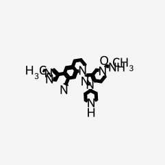 CNC(=O)N1CCc2c(c(N3CCCc4cc(-c5cnn(C)c5)c(C#N)cc43)nn2C2CCNCC2)C1